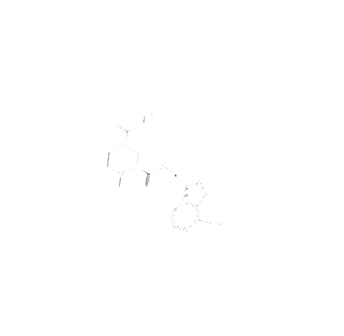 COc1cccn2c(C(C)(C)NC(=O)[C@@H]3CN(C(=O)OC(C)(C)C)CCN3C)ncc12